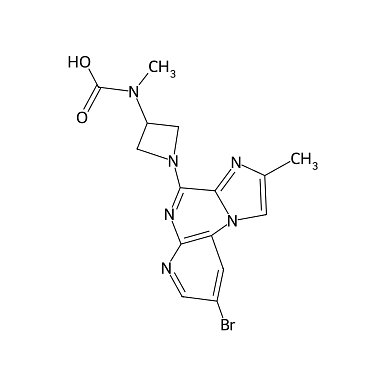 Cc1cn2c(n1)c(N1CC(N(C)C(=O)O)C1)nc1ncc(Br)cc12